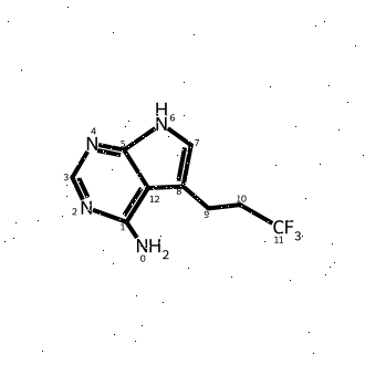 Nc1ncnc2[nH]cc(CCC(F)(F)F)c12